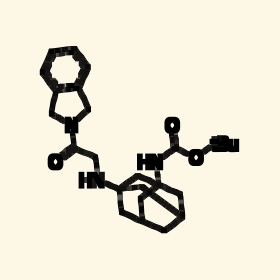 CC(C)(C)OC(=O)NC12CC3CC(CC(NCC(=O)N4Cc5ccccc5C4)(C3)C1)C2